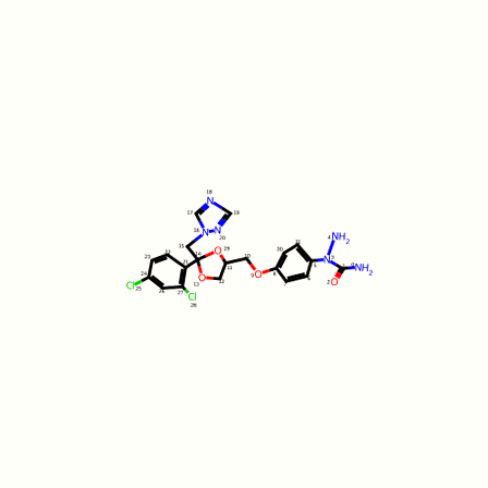 NC(=O)N(N)c1ccc(OCC2COC(Cn3cncn3)(c3ccc(Cl)cc3Cl)O2)cc1